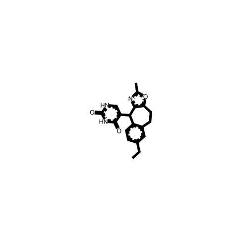 CCc1ccc2c(c1)CCc1oc(C)nc1C2c1c[nH]c(=O)[nH]c1=O